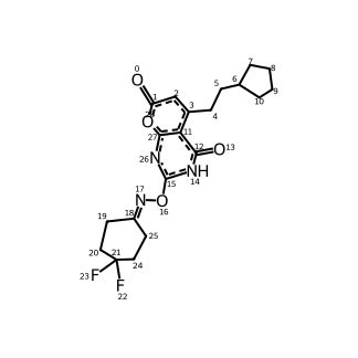 O=c1cc(CCC2CCCC2)c2c(=O)[nH]c(ON=C3CCC(F)(F)CC3)nc2o1